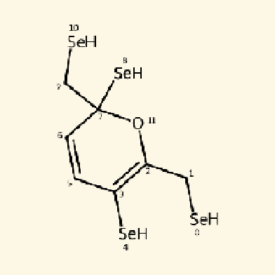 [SeH]CC1=C([SeH])C=CC([SeH])(C[SeH])O1